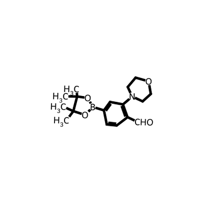 CC1(C)OB(c2ccc(C=O)c(N3CCOCC3)c2)OC1(C)C